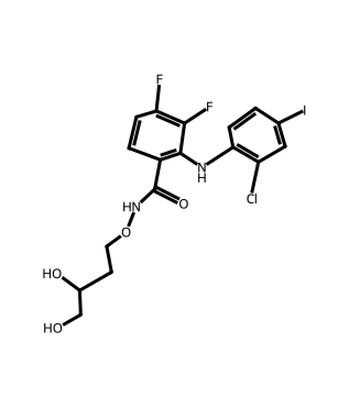 O=C(NOCCC(O)CO)c1ccc(F)c(F)c1Nc1ccc(I)cc1Cl